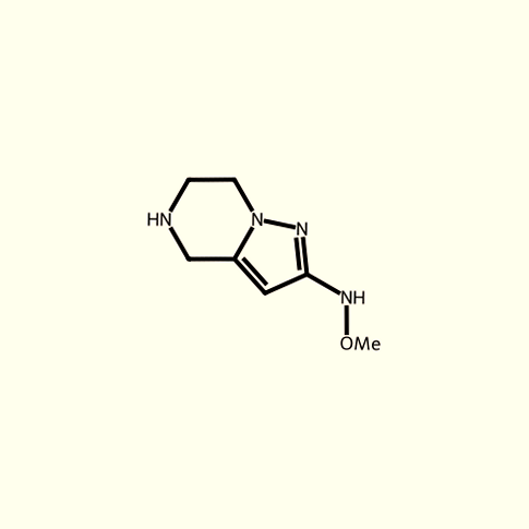 CONc1cc2n(n1)CCNC2